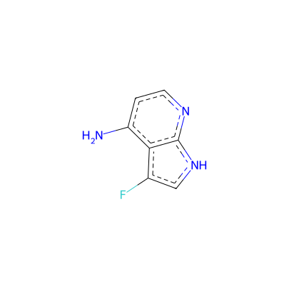 Nc1ccnc2[nH]cc(F)c12